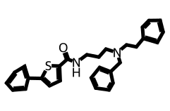 O=C(NCCCN(CCc1ccccc1)Cc1ccccc1)c1ccc(-c2ccccc2)s1